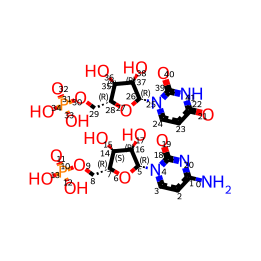 Nc1ccn([C@@H]2O[C@H](COP(=O)(O)O)[C@@H](O)[C@H]2O)c(=O)n1.O=c1ccn([C@@H]2O[C@H](COP(=O)(O)O)[C@@H](O)[C@H]2O)c(=O)[nH]1